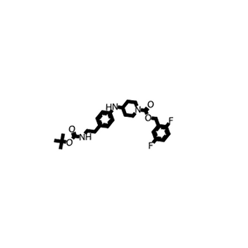 CC(C)(C)OC(=O)NCCc1ccc(NC2CCN(C(=O)OCc3cc(F)ccc3F)CC2)cc1